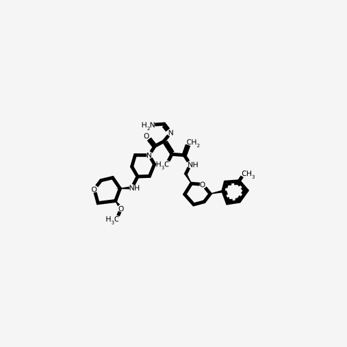 C=C(NC[C@@H]1CCC[C@H](c2cccc(C)c2)O1)/C(C)=C(\N=C/N)C(=O)N1CCC(N[C@@H]2CCOC[C@@H]2OC)CC1